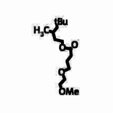 COCCOCCCC(=O)OCCC(C)CC(C)(C)C